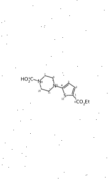 CCOC(=O)c1ccc(N2CCN(C(=O)O)CC2)s1